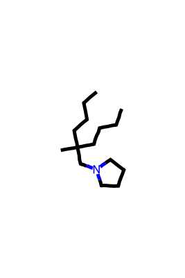 CCCCC(C)(CCCC)CN1CCCC1